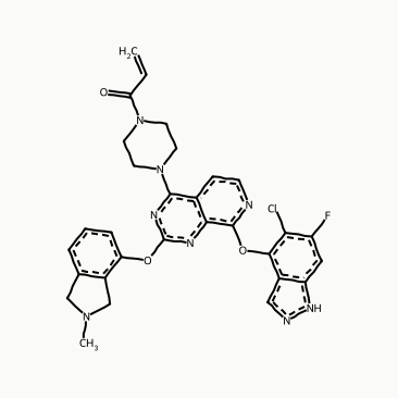 C=CC(=O)N1CCN(c2nc(Oc3cccc4c3CN(C)C4)nc3c(Oc4c(Cl)c(F)cc5[nH]ncc45)nccc23)CC1